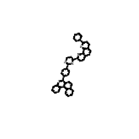 c1ccc(-c2ccc3ccc4ccc(-c5ccnc(-c6ccc(-c7nc8ccccc8c8c7ccc7ccccc78)cc6)n5)nc4c3n2)cc1